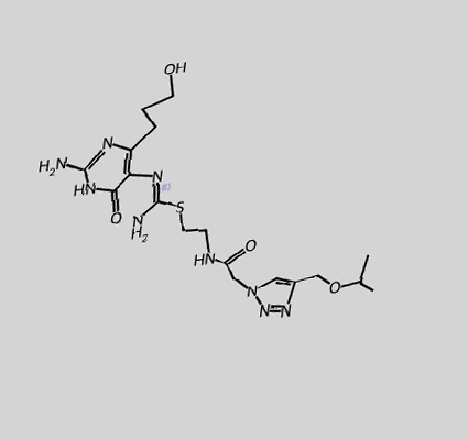 CC(C)OCc1cn(CC(=O)NCCS/C(N)=N/c2c(CCCO)nc(N)[nH]c2=O)nn1